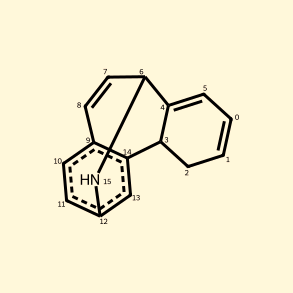 C1=CCC2C(=C1)C1C=Cc3ccc(cc32)N1